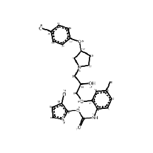 Cc1ccc(NC(=O)Oc2sccc2Cl)c(OCC(O)CN2CCC(Oc3ccc(Cl)cc3)C2)c1